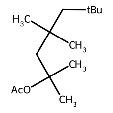 CC(=O)OC(C)(C)CC(C)(C)CC(C)(C)C